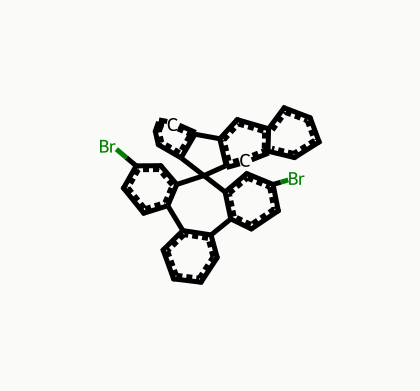 Brc1ccc2c(c1)C1(c3cc(Br)ccc3-c3ccccc3-2)c2ccccc2-c2cc3ccccc3cc21